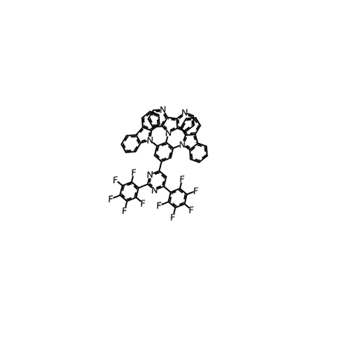 Fc1c(F)c(F)c(-c2cc(-c3cc(-n4c5ccccc5c5ccccc54)c(-n4c5cccnc5c5ncccc54)c(-n4c5ccccc5c5ccccc54)c3)nc(-c3c(F)c(F)c(F)c(F)c3F)n2)c(F)c1F